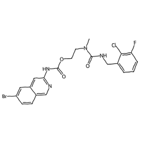 CN(CCOC(=O)Nc1cc2cc(Br)ccc2cn1)C(=O)NCc1cccc(F)c1Cl